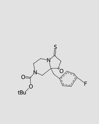 CC(C)(C)OC(=O)N1CCN2C(=S)CC(=O)C2(Cc2ccc(F)cc2)C1